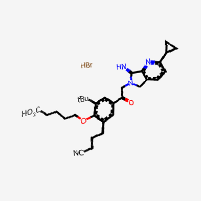 Br.CC(C)(C)c1cc(C(=O)CN2Cc3ccc(C4CC4)nc3C2=N)cc(CCCC#N)c1OCCCCC(=O)O